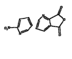 O=C1OC(=O)c2ncccc21.O=[N+]([O-])c1ccccn1